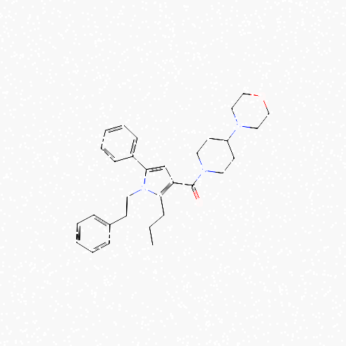 CCCc1c(C(=O)N2CCC(N3CCOCC3)CC2)cc(-c2ccccc2)n1CCc1ccccc1